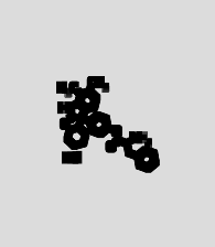 Cc1ccc2c(c1C)NC(=O)C2(c1ccc(OC(=O)[C@@H](N)Cc2ccccc2)cc1)C1CCCCC1.Cl